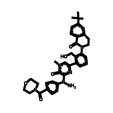 Cn1cc(-c2cccc(N3CCc4cc(C(C)(C)C)ccc4C3=O)c2CO)nc(N(N)c2ccc(C(=O)N3CCOCC3)cc2)c1=O